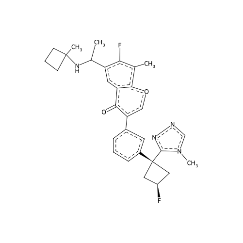 Cc1c(F)c(C(C)NC2(C)CCC2)cc2c(=O)c(-c3cccc([C@]4(c5nncn5C)C[C@H](F)C4)c3)coc12